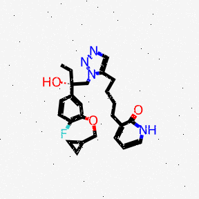 CC[C@@](O)(Cn1nncc1CCCCc1ccc[nH]c1=O)c1ccc(F)c(OCC2CC2)c1